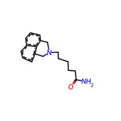 NC(=O)CCCCCN1Cc2cccc3cccc(c23)C1